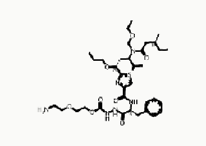 CCCO[C@H](CC(C(C)C)N(COCC)C(=O)C[C@@H](C)CC)c1nc(C(=O)N[C@@H](Cc2ccccc2)C(=O)NNC(=O)OCCOCCN)cs1